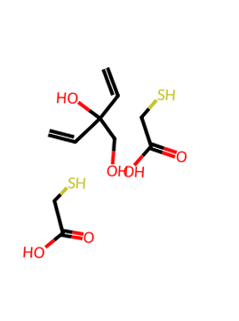 C=CC(O)(C=C)CO.O=C(O)CS.O=C(O)CS